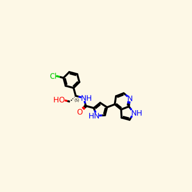 O=C(N[C@H](CO)c1cccc(Cl)c1)c1cc(-c2ccnc3[nH]ccc23)c[nH]1